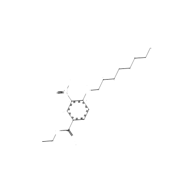 CCCCCCCCOc1ccc(C(=O)OCC)cc1[N+](=O)[O-]